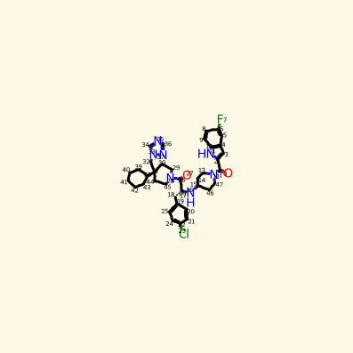 O=C(c1cc2cc(F)ccc2[nH]1)N1CCC(N[C@H](Cc2ccc(Cl)cc2)C(=O)N2CCC(Cn3cncn3)(C3CCCCC3)CC2)CC1